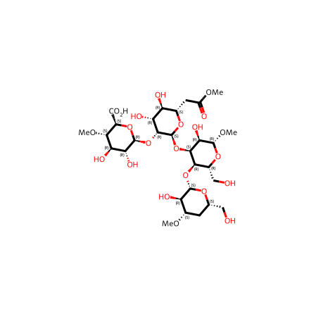 COC(=O)C[C@@H]1O[C@@H](O[C@H]2[C@@H](O)[C@H](OC)O[C@H](CO)[C@H]2O[C@@H]2O[C@H](CO)C[C@H](OC)[C@H]2O)[C@H](O[C@@H]2O[C@H](C(=O)O)[C@@H](OC)[C@H](O)[C@H]2O)[C@H](O)[C@H]1O